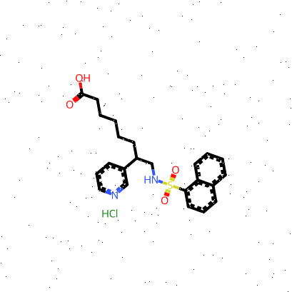 Cl.O=C(O)CCCCCC(CNS(=O)(=O)c1cccc2ccccc12)c1cccnc1